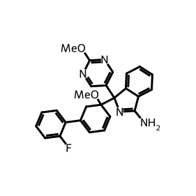 COc1ncc(C2(C3(OC)C=CC=C(c4ccccc4F)C3)N=C(N)c3ccccc32)cn1